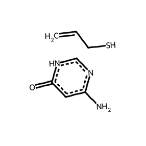 C=CCS.Nc1cc(=O)[nH]cn1